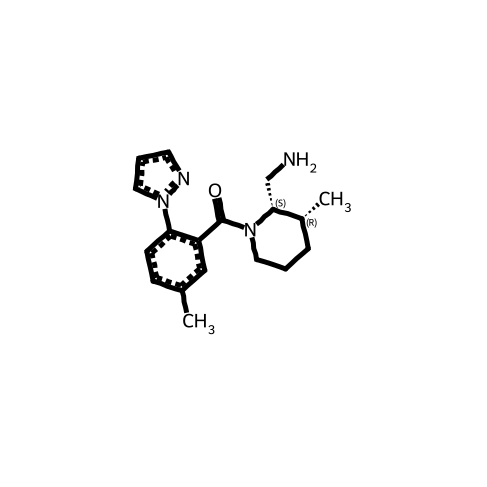 Cc1ccc(-n2cccn2)c(C(=O)N2CCC[C@@H](C)[C@H]2CN)c1